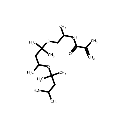 C=C(C)C(=O)NC(C)COC(C)(C)CC(C)OC(C)(C)CC(C)N